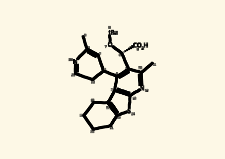 CC1=CC(c2c([C@H](OC(C)(C)C)C(=O)O)c(C)nc3sc4c(c23)CCCC4)CC=N1